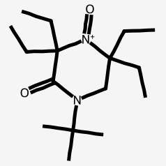 CCC1(CC)CN(C(C)(C)C)C(=O)C(CC)(CC)[N+]1=O